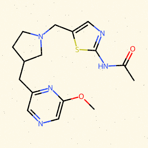 COc1cncc(CC2CCN(Cc3cnc(NC(C)=O)s3)C2)n1